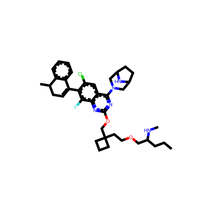 CCCC(COCCC1(COc2nc(N3CC4CCC(C3)N4)c3cc(Cl)c(C4=CCC(C)c5ccccc54)c(F)c3n2)CCC1)NC